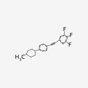 CC1CCC(c2ccc(C#Cc3cc(F)c(F)c(F)c3)cc2)CC1